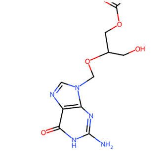 COC(=O)OCC(CO)OCn1cnc2c(=O)[nH]c(N)nc21